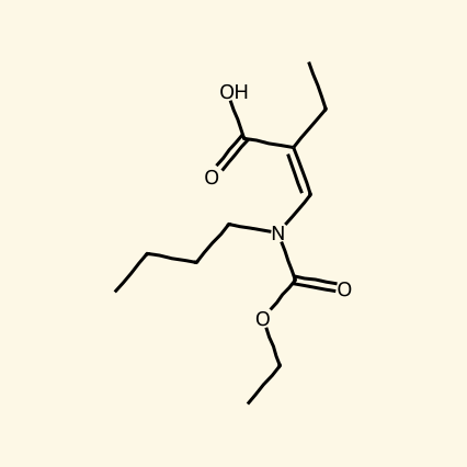 CCCCN(C=C(CC)C(=O)O)C(=O)OCC